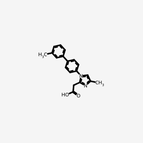 Cc1cccc(-c2ccc(-n3cc(C)nc3CC(=O)O)cc2)c1